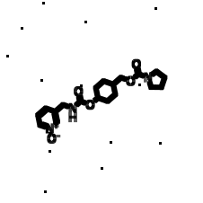 O=C(NCc1ccc[n+]([O-])c1)OC1CCC(COC(=O)N2CCCC2)CC1